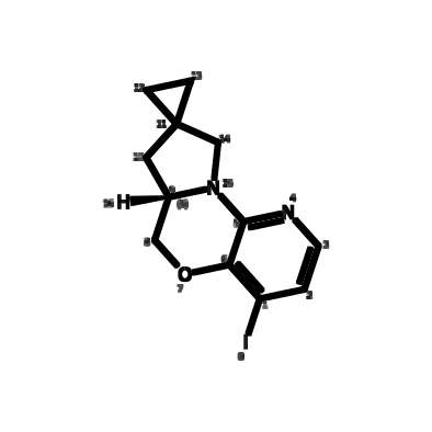 Ic1ccnc2c1OC[C@@H]1CC3(CC3)CN21